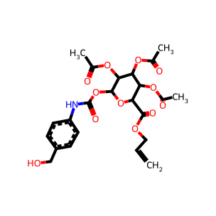 C=CCOC(=O)C1OC(OC(=O)Nc2ccc(CO)cc2)C(OC(C)=O)C(OC(C)=O)C1OC(C)=O